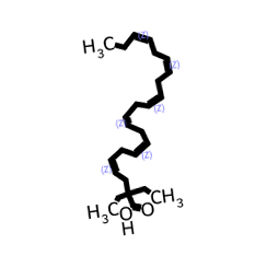 CC/C=C\C/C=C\C/C=C\C/C=C\C/C=C\C/C=C\CC(CC)(CC)C(=O)O